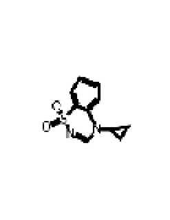 O=S1(=O)N=CN(C2CC2)c2ccccc21